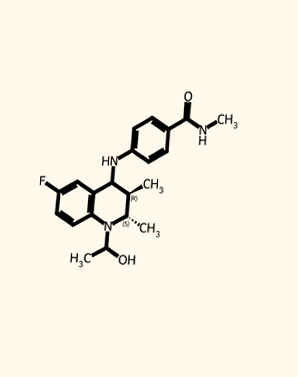 CNC(=O)c1ccc(NC2c3cc(F)ccc3N(C(C)O)[C@@H](C)[C@@H]2C)cc1